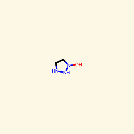 ON1CCNN1